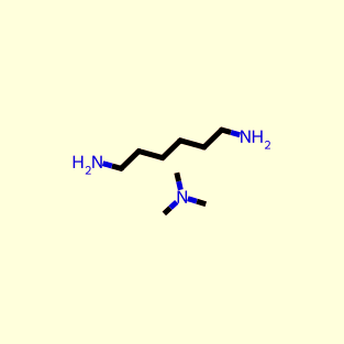 CN(C)C.NCCCCCCN